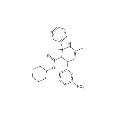 CC1=CC(c2cccc([N+](=O)[O-])c2)C(C(=O)OC2CCCCC2)C(C)(c2cccnc2)N1